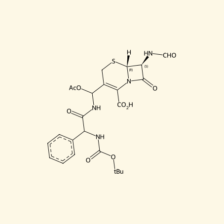 CC(=O)OC(NC(=O)C(NC(=O)OC(C)(C)C)c1ccccc1)C1=C(C(=O)O)N2C(=O)[C@H](NC=O)[C@H]2SC1